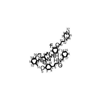 COc1ccc(/C=C/C(=O)NCc2ccccc2)cc1Oc1nc(Nc2ccc(OCCCN3CCN(C)CC3)c(F)c2)ncc1C(=O)Nc1c(C)cccc1C